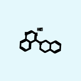 C1=CC2CCN(c3ncnc4ccccc34)CC2C=C1.Cl